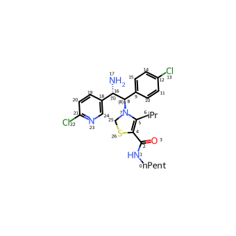 CCCCCNC(=O)C1=C(C(C)C)N([C@H](c2ccc(Cl)cc2)[C@@H](N)c2ccc(Cl)nc2)CS1